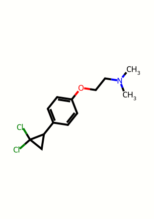 CN(C)CCOc1ccc(C2CC2(Cl)Cl)cc1